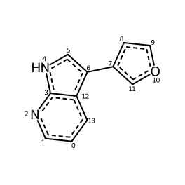 c1cnc2[nH]cc(-c3ccoc3)c2c1